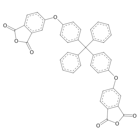 O=C1OC(=O)c2cc(Oc3ccc(C(c4ccccc4)(c4ccccc4)c4ccc(Oc5ccc6c(c5)C(=O)OC6=O)cc4)cc3)ccc21